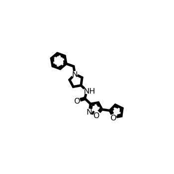 O=C(NC1CCN(Cc2ccccc2)C1)c1cc(-c2ccco2)on1